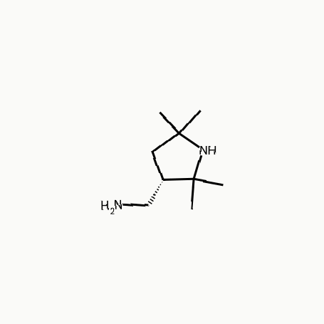 CC1(C)C[C@@H](CN)C(C)(C)N1